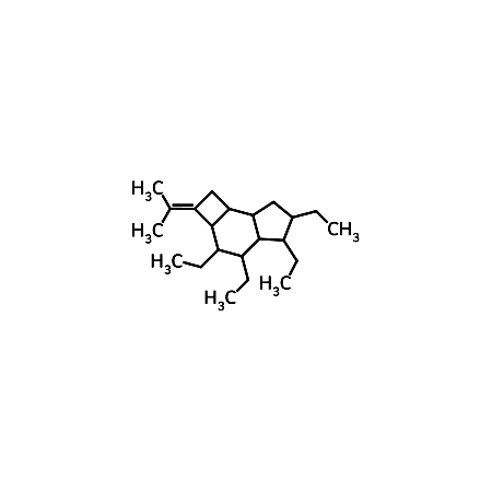 CCC1CC2C3CC(=C(C)C)C3C(CC)C(CC)C2C1CC